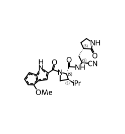 COc1cccc2[nH]c(C(=O)N3C[C@H](C(C)C)[C@H]3C(=O)N[C@H](C#N)C[C@@H]3CCNC3=O)cc12